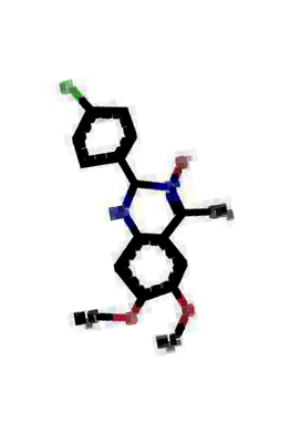 COc1cc2c(cc1OC)C(C)=[N+]([O-])C(c1ccc(Cl)cc1)N2